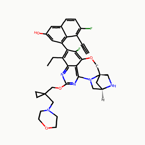 C#Cc1c(F)ccc2cc(O)cc(-c3c(F)c4c5c(nc(OCC6(CN7CCOCC7)CC6)nc5c3CC)N3C[C@H]5C[C@@]3(CN5)CO4)c12